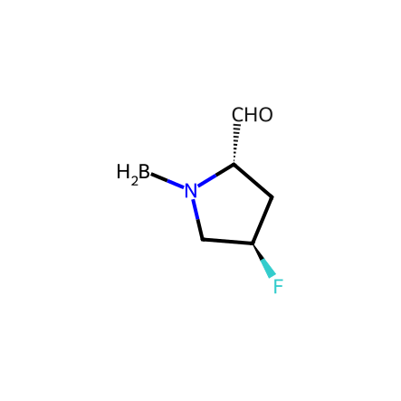 BN1C[C@H](F)C[C@H]1C=O